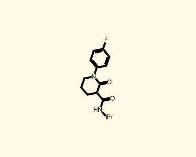 CC(C)NC(=O)C1CCCN(c2ccc(F)cc2)C1=O